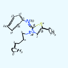 CCCCn1cc(C)sc1=Nc1ccccc1